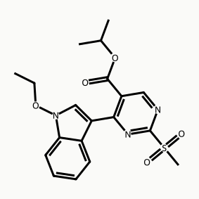 CCOn1cc(-c2nc(S(C)(=O)=O)ncc2C(=O)OC(C)C)c2ccccc21